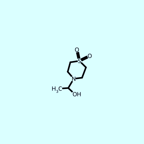 CC(O)N1CCS(=O)(=O)CC1